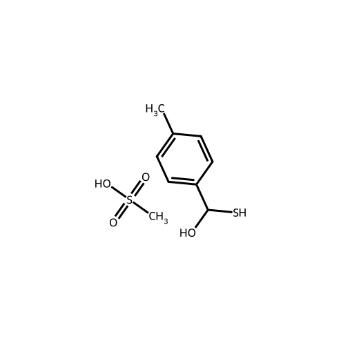 CS(=O)(=O)O.Cc1ccc(C(O)S)cc1